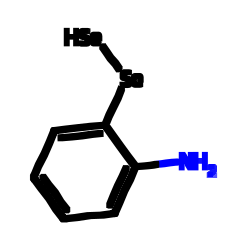 Nc1ccccc1[Se][SeH]